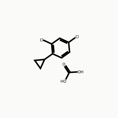 Clc1ccc(C2CC2)c(Cl)c1.O=C(O)O